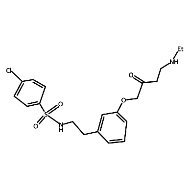 CCNCCC(=O)COc1cccc(CCNS(=O)(=O)c2ccc(Cl)cc2)c1